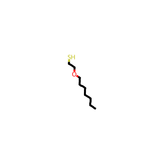 CCCCCCCOCCS